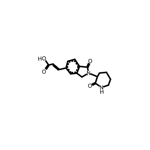 O=C(O)/C=C/c1ccc2c(c1)CN(C1CCCCNC1=O)C2=O